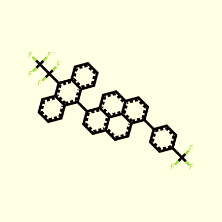 FC(F)(F)c1ccc(-c2ccc3ccc4c(-c5c6ccccc6c(C(F)(F)C(F)(F)F)c6ccccc56)ccc5ccc2c3c54)cc1